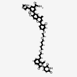 C=C1C=C(c2ccc(OCCOCCCCCOCCCc3cccc4c3C(=C)N(C3CCC(=O)NC3=O)C4=O)cc2Cl)Oc2cc(OCC)c(-c3cc(C(N)=O)cc(-c4cnc[nH]4)c3)cc21